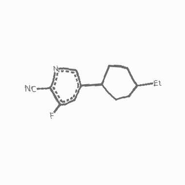 CCC1CCC(c2cnc(C#N)c(F)c2)CC1